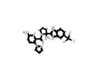 Cc1ccc(-n2cccn2)c(C(=O)N2CCCC2(C)c2nc3cc(C(F)(F)F)ccc3[nH]2)n1